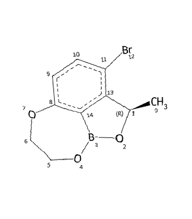 C[C@H]1OB2OCCOc3ccc(Br)c1c32